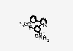 NS(=O)(=O)c1cc(F)cc(-c2ncccc2-c2cccc(OC(F)(F)F)c2)c1